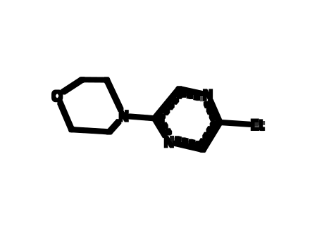 CCc1cnc(N2CCOCC2)cn1